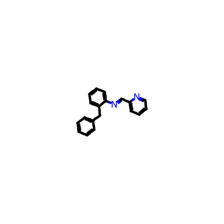 C(=Nc1ccccc1Cc1ccccc1)c1ccccn1